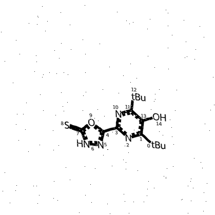 CC(C)(C)c1nc(-c2n[nH]c(=S)o2)nc(C(C)(C)C)c1O